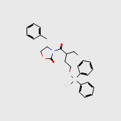 CC(C)(C)[Si](OCCC(CC(=O)O)C(=O)N1C(=O)OC[C@@H]1Cc1ccccc1)(c1ccccc1)c1ccccc1